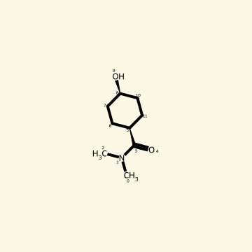 CN(C)C(=O)[C@H]1CC[C@@H](O)CC1